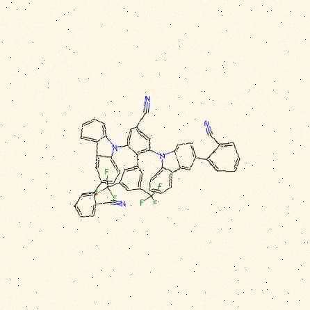 N#Cc1cc(-n2c3ccccc3c3cc(-c4ccccc4C#N)ccc32)c(-c2cc(C(F)(F)F)cc(C(F)(F)F)c2)c(-n2c3ccccc3c3cc(-c4ccccc4C#N)ccc32)c1